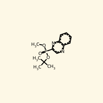 COP(=O)(OC(C)(C)C)c1cnc2ccccc2n1